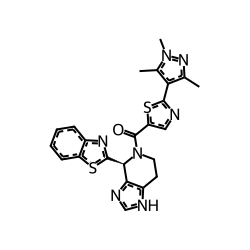 Cc1nn(C)c(C)c1-c1ncc(C(=O)N2CCc3[nH]cnc3[C@H]2c2nc3ccccc3s2)s1